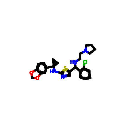 Clc1ccccc1C(NCCN1CCCC1)c1cnc(NC2(c3ccc4c(c3)OCO4)CC2)s1